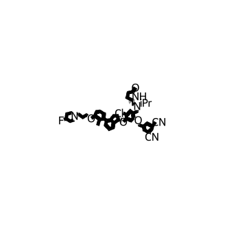 Cc1c(OCCCN2CCC(F)CC2)cccc1-c1cccc2c1CC[C@@H]2Oc1cc(OCc2cc(C#N)cc(C#N)c2)c(CN(C[C@H]2CCC(=O)N2)C(C)C)cc1Cl